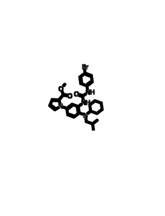 COC(=O)c1cccn1-c1ccc(N(CC(C)C)C2CCCCC2)c(NC(=O)Nc2ccc(Br)cc2)c1